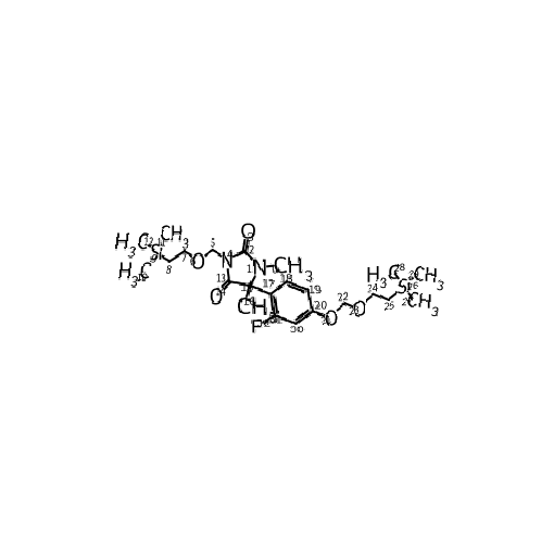 CN1C(=O)N(COCC[Si](C)(C)C)C(=O)C1(C)c1ccc(OCOCC[Si](C)(C)C)cc1F